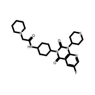 O=C(CN1CCCCC1)NC1CCC(n2c(=O)c3cc(F)cnc3n(C3CCSCC3)c2=O)CC1